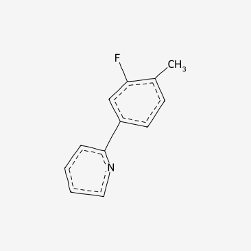 Cc1ccc(-c2ccccn2)cc1F